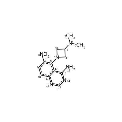 CN(C)C1CN(c2c([N+](=O)[O-])ccc3ncnc(N)c23)C1